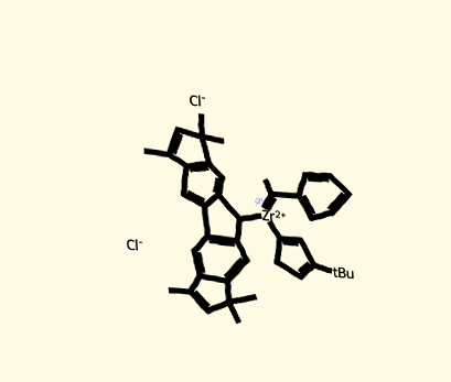 CC1=CC(C)(C)c2cc3c(cc21)-c1cc2c(cc1[CH]3/[Zr+2]([C]1=CC(C(C)(C)C)=CC1)=[C](\C)c1ccccc1)C(C)(C)C=C2C.[Cl-].[Cl-]